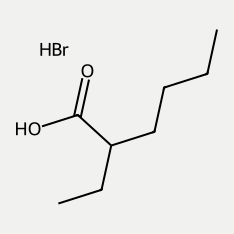 Br.CCCCC(CC)C(=O)O